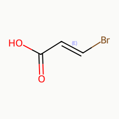 O=C(O)/C=C/Br